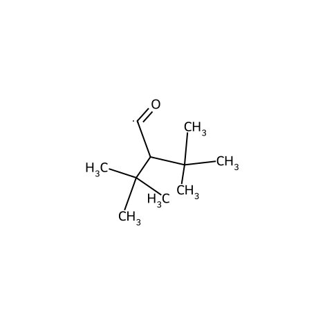 CC(C)(C)C([C]=O)C(C)(C)C